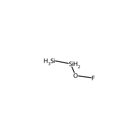 FO[SiH2][SiH3]